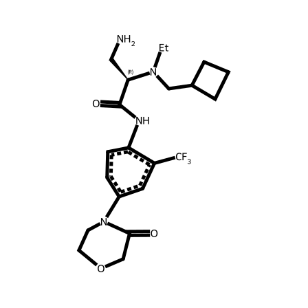 CCN(CC1CCC1)[C@H](CN)C(=O)Nc1ccc(N2CCOCC2=O)cc1C(F)(F)F